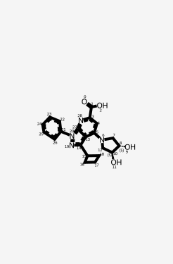 O=C(O)c1cc(N2C[C@H](O)[C@@H](O)C2)c2c(C3CCC3)nn(-c3ccccc3)c2n1